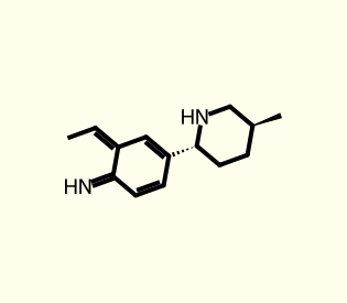 C/C=C1/C=C([C@H]2CC[C@H](C)CN2)C=CC1=N